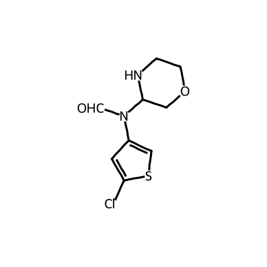 O=CN(c1csc(Cl)c1)C1COCCN1